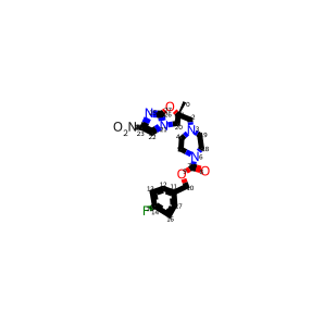 C[C@@]1(CN2CCN(C(=O)OCc3ccc(F)cc3)CC2)Cn2cc([N+](=O)[O-])nc2O1